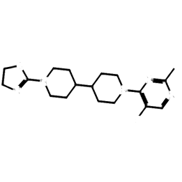 Cc1ncc(F)c(N2CCC(C3CCN(C4=NCCS4)CC3)CC2)n1